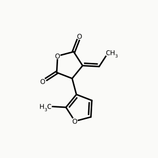 CC=C1C(=O)OC(=O)C1c1ccoc1C